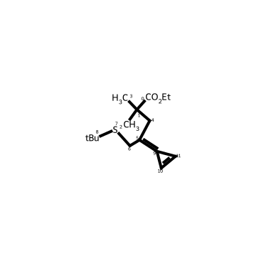 CCOC(=O)C(C)(C)CC(CSC(C)(C)C)=C1C=C1